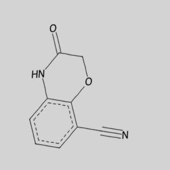 N#Cc1cccc2c1OCC(=O)N2